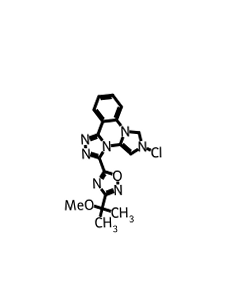 COC(C)(C)c1noc(-c2nnc3n2C2=CN(Cl)CN2c2ccccc2-3)n1